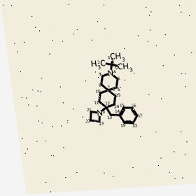 CC(C)(C)N1CCC2(CC1)CCC(Cc1ccccc1)(N1CCC1)CC2